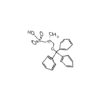 C[C@H](COC(c1ccccc1)(c1ccccc1)c1ccccc1)CS(=O)(=O)O